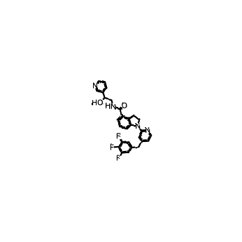 O=C(NCC(O)c1cccnc1)c1cccc2c1CCN2c1cc(Cc2cc(F)c(F)c(F)c2)ccn1